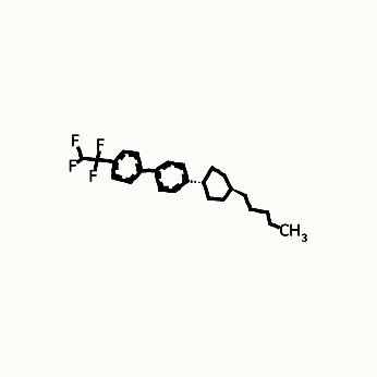 CCCCC[C@H]1CC[C@H](c2ccc(-c3ccc(C(F)(F)C(F)F)cc3)cc2)CC1